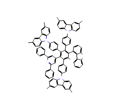 Cc1ccc2c(c1)c1cc(C)ccc1n2-c1ccc(-c2c(C#N)c(-c3cccc4sc5ccccc5c34)c(-c3ccc(-n4c5ccc(C)cc5c5cc(C)ccc54)cc3)c(-c3ccc(-n4c5ccc(C)cc5c5cc(C)ccc54)cc3)c2-c2cc(-c3ccccc3)nc(-c3ccccc3)c2)cc1